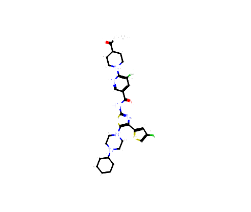 COC(=O)C1CCN(c2ncc(C(=O)Nc3nc(-c4cc(Cl)cs4)c(N4CCN(C5CCCCC5)CC4)s3)cc2Cl)CC1